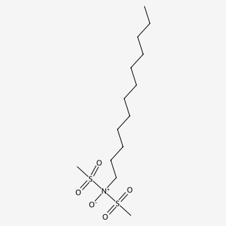 CCCCCCCCCCCC[N+]([O-])(S(C)(=O)=O)S(C)(=O)=O